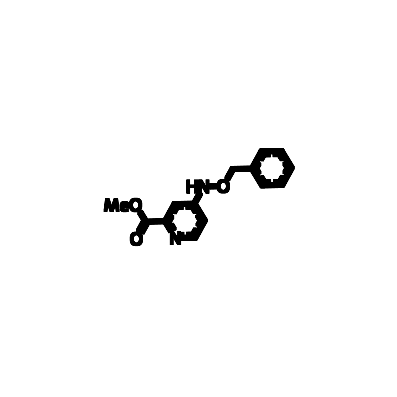 COC(=O)c1cc(NOCc2ccccc2)ccn1